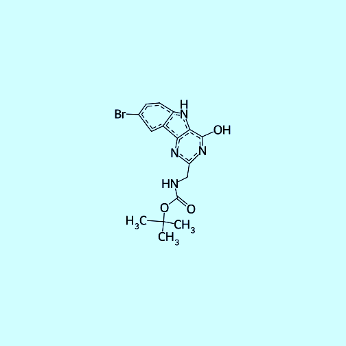 CC(C)(C)OC(=O)NCc1nc(O)c2[nH]c3ccc(Br)cc3c2n1